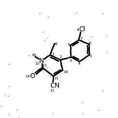 Cc1c(-c2cccc(Cl)c2)cc(C#N)c(=O)n1C